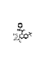 CC(C)(C)c1ccc2c(c1)C(C(=O)Nc1ccccc1)CC(C(=O)O)(C(=O)O)C2